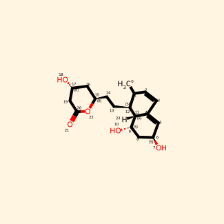 CC1C=CC2=C[C@@H](O)C[C@H](O)[C@@H]2[C@H]1CC[C@@H]1C[C@@H](O)CC(=O)O1